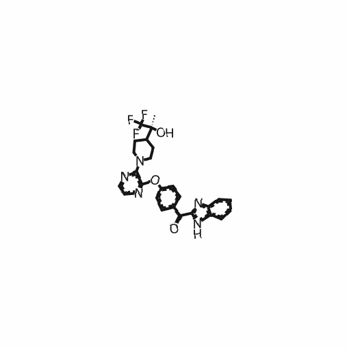 C[C@](O)(C1CCN(c2nccnc2Oc2ccc(C(=O)c3nc4ccccc4[nH]3)cc2)CC1)C(F)(F)F